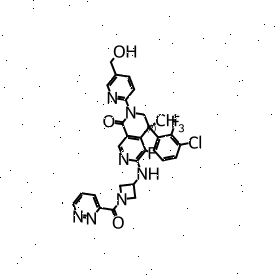 C[C@]1(c2cccc(Cl)c2F)CN(c2ccc(CO)cn2)C(=O)c2cnc(NC3CN(C(=O)c4cccnn4)C3)c(F)c21